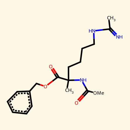 COC(=O)NC(C)(CCCCNC(C)=N)C(=O)OCc1ccccc1